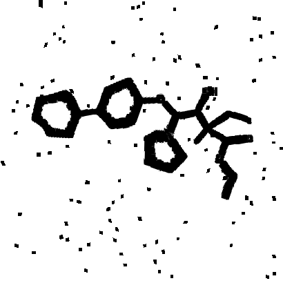 CCOC(=O)C(C)(CC)C(O)C(Oc1ccc(-c2ccccc2)cc1)n1cccc1